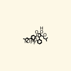 Cc1cc(-c2ccc(N3C(=O)C(O)=C(C(=O)CC(C)C)C3c3ccccc3OC(F)(F)F)cc2)on1